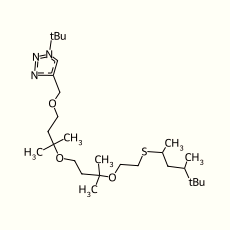 CC(CC(C)C(C)(C)C)SCCOC(C)(C)CCOC(C)(C)CCOCc1cn(C(C)(C)C)nn1